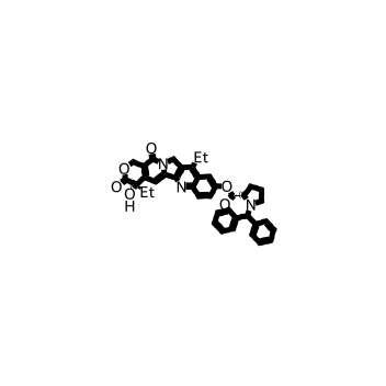 CCc1c2c(nc3ccc(OC(=O)[C@@H]4CCCN4C(c4ccccc4)c4ccccc4)cc13)-c1cc3c(c(=O)n1C2)COC(=O)[C@]3(O)CC